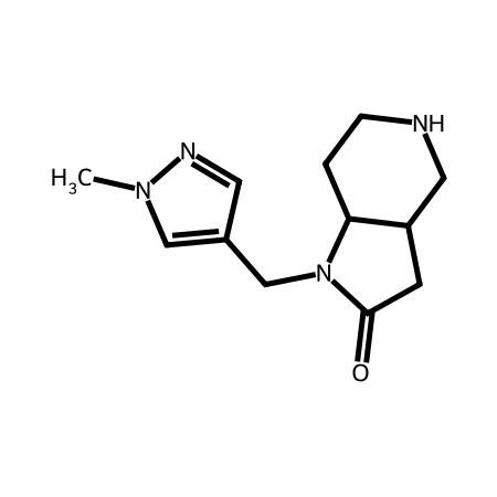 Cn1cc(CN2C(=O)CC3CNCCC32)cn1